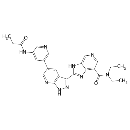 CCC(=O)Nc1cncc(-c2cnc3[nH]nc(-c4nc5c(C(=O)N(CC)CC)cncc5[nH]4)c3c2)c1